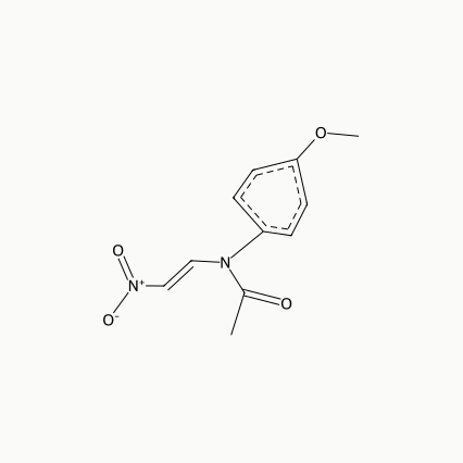 COc1ccc(N(C=C[N+](=O)[O-])C(C)=O)cc1